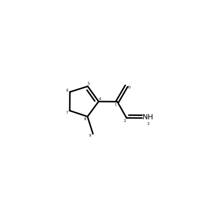 C=C(C=N)C1=CCCC1C